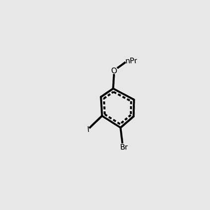 CCCOc1ccc(Br)c(I)c1